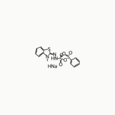 Cn1c(=NNS(=O)(=O)OS(=O)(=O)c2ccccc2)sc2ccccc21.[NaH]